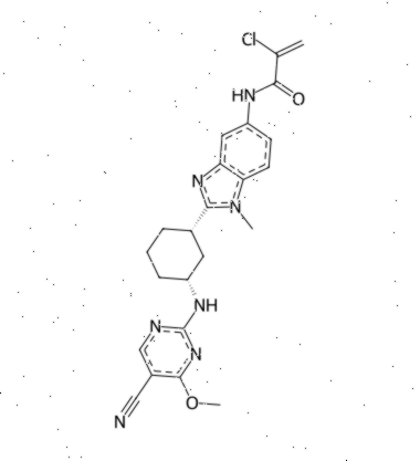 C=C(Cl)C(=O)Nc1ccc2c(c1)nc([C@H]1CCC[C@@H](Nc3ncc(C#N)c(OC)n3)C1)n2C